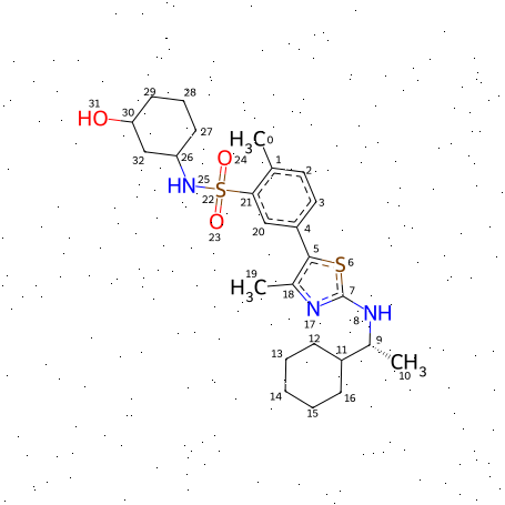 Cc1ccc(-c2sc(N[C@H](C)C3CCCCC3)nc2C)cc1S(=O)(=O)NC1CCCC(O)C1